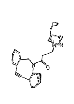 O=Cc1cn(CCC(=O)N2Cc3ccccc3C#Cc3ccccc32)nn1